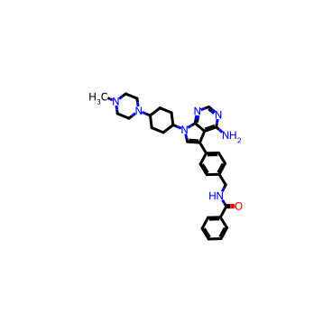 CN1CCN(C2CCC(n3cc(-c4ccc(CNC(=O)c5ccccc5)cc4)c4c(N)ncnc43)CC2)CC1